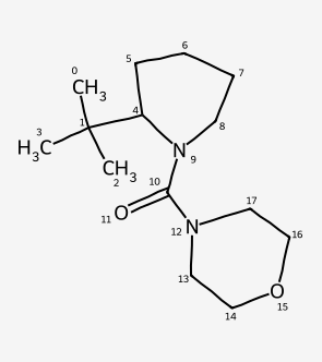 CC(C)(C)C1CCCCN1C(=O)N1CCOCC1